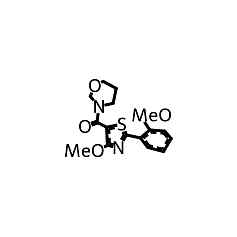 COc1ccccc1-c1nc(OC)c(C(=O)N2CCCOC2)s1